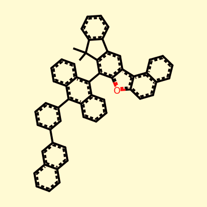 CC1(C)c2ccccc2-c2cc3c(oc4ccc5ccccc5c43)c(-c3c4ccccc4c(-c4cccc(-c5ccc6ccccc6c5)c4)c4ccccc34)c21